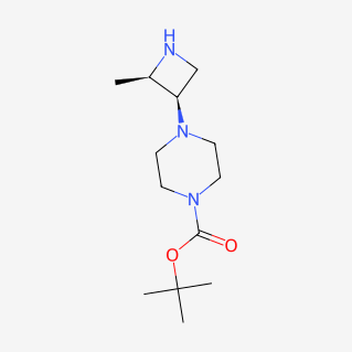 C[C@H]1NC[C@H]1N1CCN(C(=O)OC(C)(C)C)CC1